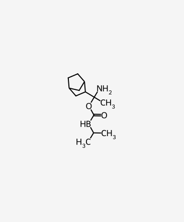 CC(C)BC(=O)OC(C)(N)C1CC2CCC1C2